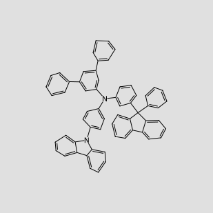 c1ccc(-c2cc(-c3ccccc3)cc(N(c3ccc(-n4c5ccccc5c5ccccc54)cc3)c3cccc(C4(c5ccccc5)c5ccccc5-c5ccccc54)c3)c2)cc1